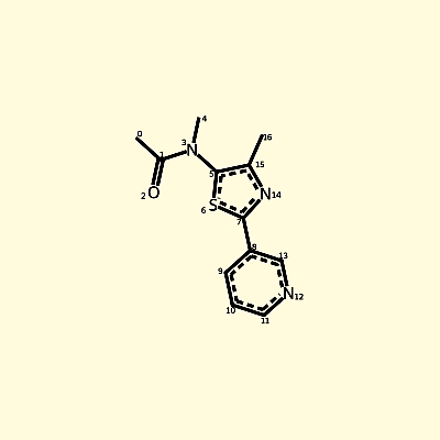 CC(=O)N(C)c1sc(-c2cccnc2)nc1C